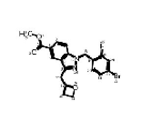 COC(=O)c1ccc2c(c1)c(CC1CCO1)nn2Cc1ccc(Br)cc1F